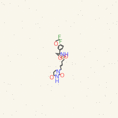 O=C1CCN(C/C=C/CCS(=O)(=O)NC2(c3cccc(OCC(F)F)c3)CC2)C(=O)N1